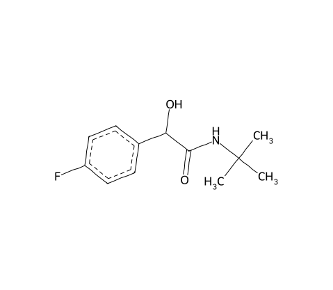 CC(C)(C)NC(=O)C(O)c1ccc(F)cc1